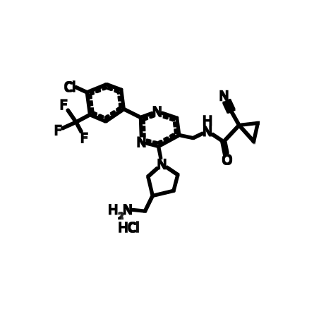 Cl.N#CC1(C(=O)NCc2cnc(-c3ccc(Cl)c(C(F)(F)F)c3)nc2N2CCC(CN)C2)CC1